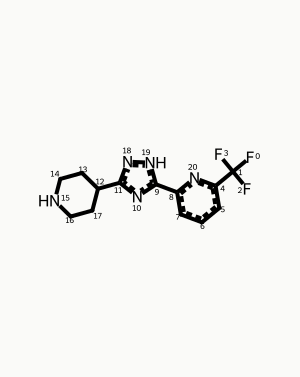 FC(F)(F)c1cccc(-c2nc(C3CCNCC3)n[nH]2)n1